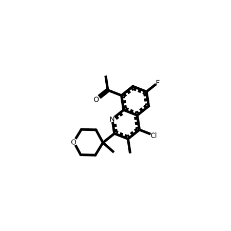 CC(=O)c1cc(F)cc2c(Cl)c(C)c(C3(C)CCOCC3)nc12